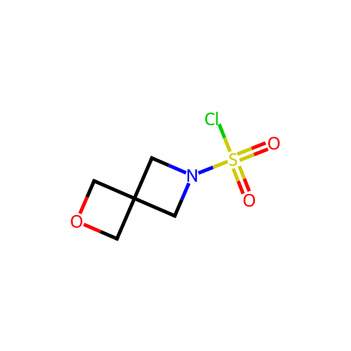 O=S(=O)(Cl)N1CC2(COC2)C1